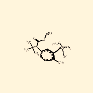 Cc1ccc(N(C(=O)OC(C)(C)C)[Si](C)(C)C)cc1[Si](C)(C)C